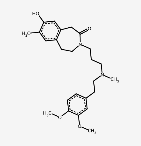 COc1ccc(CCN(C)CCCN2CCc3cc(C)c(O)cc3CC2=O)cc1OC